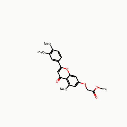 COc1ccc(-c2cc(=O)c3c(OC)cc(OCC(=O)OC(C)(C)C)cc3o2)cc1OC